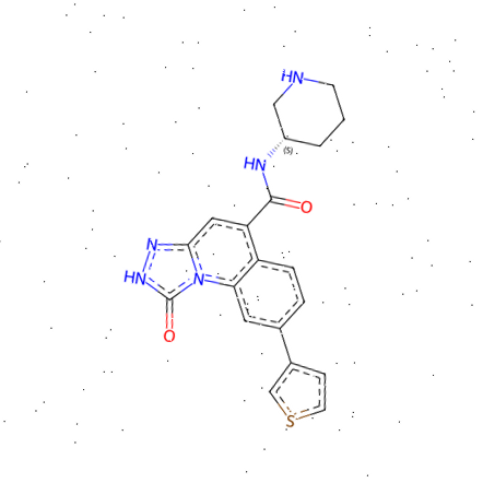 O=C(N[C@H]1CCCNC1)c1cc2n[nH]c(=O)n2c2cc(-c3ccsc3)ccc12